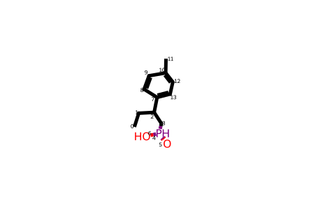 CCC(C[PH](=O)O)c1ccc(C)cc1